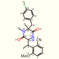 COc1cccc(C#N)c1C(C)C1NC(=O)C(C)(Cc2ccc(F)cc2)N(C)C1=O